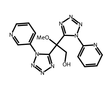 COC(CO)(c1nnnn1-c1cccnc1)c1nnnn1-c1ccccn1